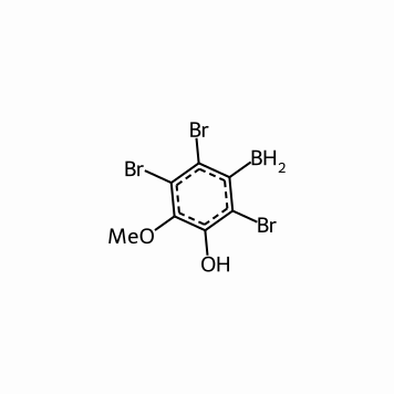 Bc1c(Br)c(O)c(OC)c(Br)c1Br